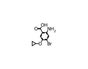 Nc1cc(Br)c(OC2CC2)cc1C(=O)O